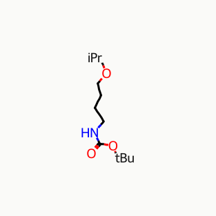 CC(C)OCCCCNC(=O)OC(C)(C)C